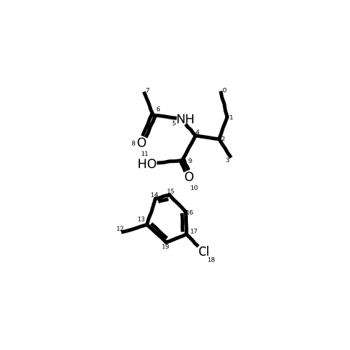 CCC(C)C(NC(C)=O)C(=O)O.Cc1cccc(Cl)c1